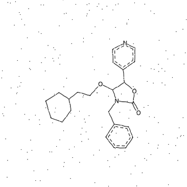 O=C1OC(c2ccncc2)C(OCCC2CCCCC2)N1Cc1ccccc1